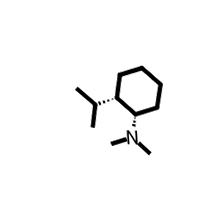 CC(C)[C@@H]1CCCC[C@@H]1N(C)C